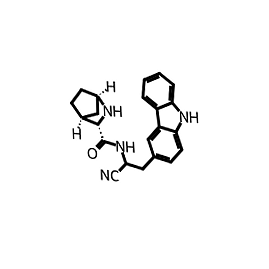 N#CC(Cc1ccc2[nH]c3ccccc3c2c1)NC(=O)[C@H]1N[C@@H]2CC[C@H]1C2